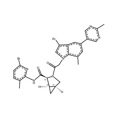 CC(=O)c1cn(CC(=O)N2C[C@H]3C[C@H]3[C@H]2C(=O)Nc2nc(Br)ccc2C)c2c(C)cc(-c3cnc(C)nc3)cc12